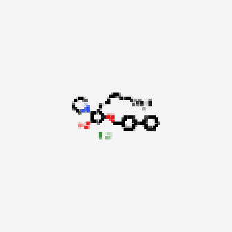 Cl.O=C(O)CC/C=C\CC[C@@H]1[C@@H](N2CCCCC2)[C@@H](O)C[C@@H]1OCc1ccc(-c2ccccc2)cc1